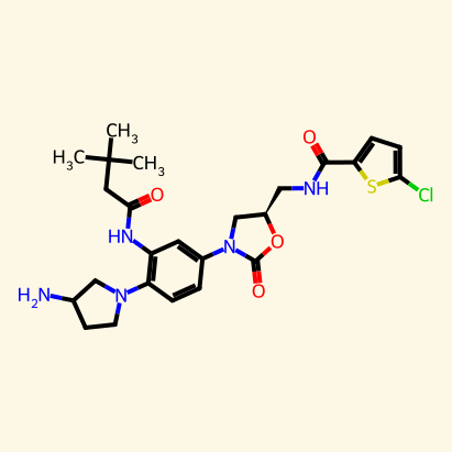 CC(C)(C)CC(=O)Nc1cc(N2C[C@@H](CNC(=O)c3ccc(Cl)s3)OC2=O)ccc1N1CCC(N)C1